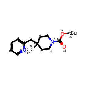 CCOC(=O)C1(Cc2ccccn2)CCN(C(=O)OC(C)(C)C)CC1